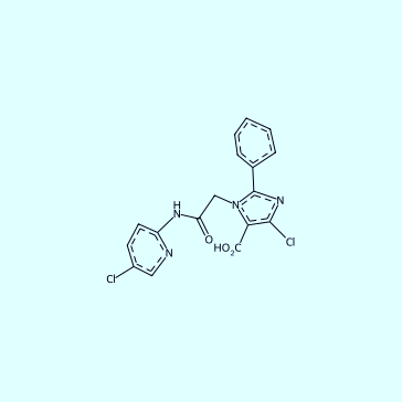 O=C(Cn1c(-c2ccccc2)nc(Cl)c1C(=O)O)Nc1ccc(Cl)cn1